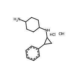 Cl.Cl.NC1CCC(NC2CC2c2ccccc2)CC1